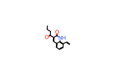 C=Cc1cccc2cc(C(=O)CCC)c(=O)[nH]c12